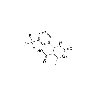 CC1=C(C(=O)O)C(c2cccc(C(F)(F)F)c2)NC(=O)N1